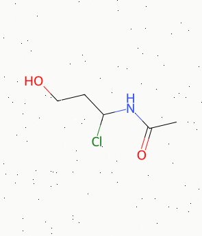 CC(=O)NC(Cl)CCO